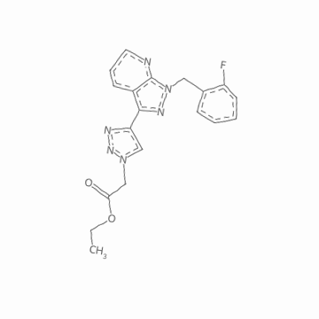 CCOC(=O)Cn1cc(-c2nn(Cc3ccccc3F)c3ncccc23)nn1